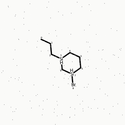 CCC[SiH]1CCC[SiH](Br)C1